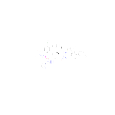 Cc1ccc(CNC(=O)c2ccc(-c3cc(C(=O)NC4CC4)cc(F)c3C)c(C(=O)Nc3nccs3)c2)cc1C